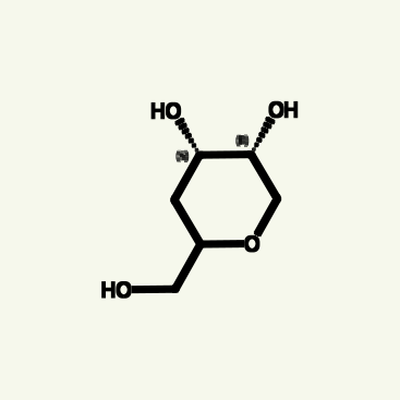 OCC1C[C@H](O)[C@H](O)CO1